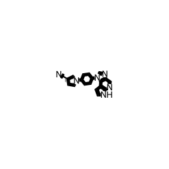 N#C[C@@H]1CCN(C2CCC(n3cnc4cnc5[nH]ccc5c43)CC2)C1